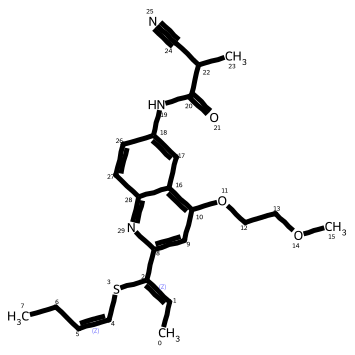 C/C=C(\S/C=C\CC)c1cc(OCCOC)c2cc(NC(=O)C(C)C#N)ccc2n1